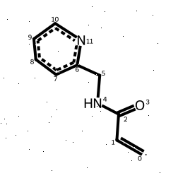 [CH]=CC(=O)NCc1ccccn1